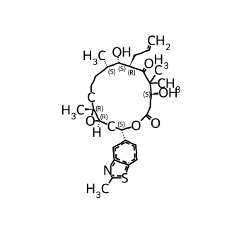 C=CC[C@H]1C(=O)C(C)(C)[C@@H](O)CC(=O)O[C@H](c2ccc3sc(C)nc3c2)C[C@H]2O[C@]2(C)CCC[C@H](C)[C@@H]1O